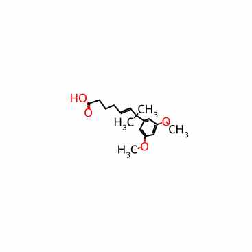 COc1cc(OC)cc(C(C)(C)/C=C/CCCC(=O)O)c1